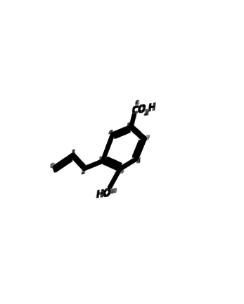 C=CCc1cc(C(=O)O)c[c]c1O